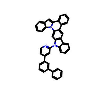 c1ccc(-c2cccc(-c3ccnc(-n4c5ccccc5c5cc6c7ccccc7c7cc8ccccc8n7c6cc54)c3)c2)cc1